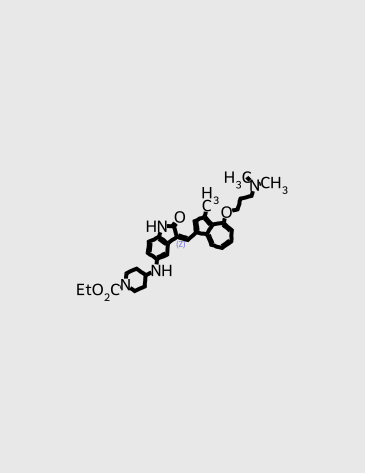 CCOC(=O)N1CCC(Nc2ccc3c(c2)/C(=C/c2cc(C)c4c(OCCCN(C)C)ccccc2-4)C(=O)N3)CC1